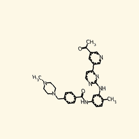 CC(=O)c1cncc(-c2ccnc(Nc3cc(NC(=O)c4ccc(CN5CCN(C)CC5)cc4)ccc3C)n2)c1